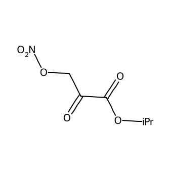 CC(C)OC(=O)C(=O)CO[N+](=O)[O-]